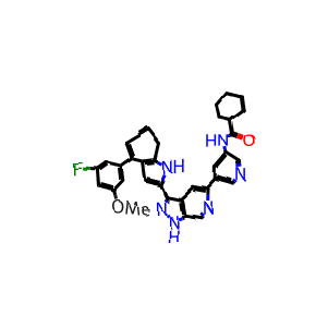 COc1cc(F)cc(C2=CC=CCc3[nH]c(-c4n[nH]c5cnc(-c6cncc(NC(=O)C7CCCCC7)c6)cc45)cc32)c1